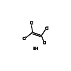 ClC(Cl)=C(Cl)Cl.[KH]